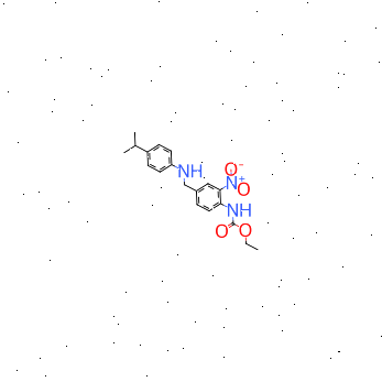 CCOC(=O)Nc1ccc(CNc2ccc(C(C)C)cc2)cc1[N+](=O)[O-]